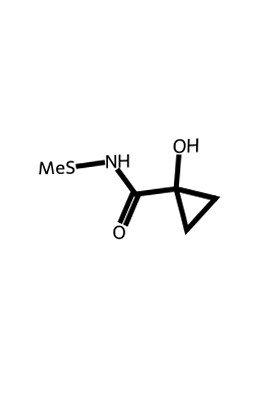 CSNC(=O)C1(O)CC1